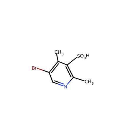 Cc1ncc(Br)c(C)c1S(=O)(=O)O